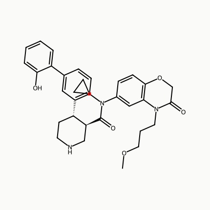 COCCCN1C(=O)COc2ccc(N(C(=O)[C@H]3CNCC[C@@H]3c3cccc(-c4ccccc4O)c3)C3CC3)cc21